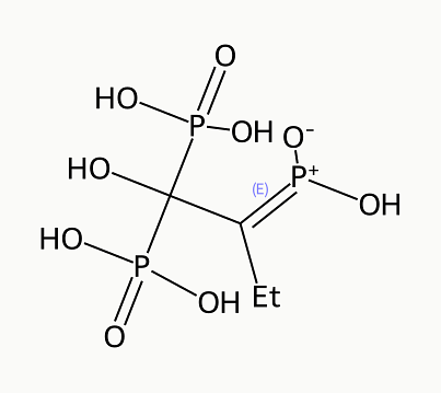 CC/C(=[P+](/[O-])O)C(O)(P(=O)(O)O)P(=O)(O)O